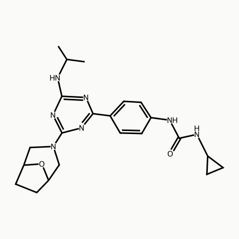 CC(C)Nc1nc(-c2ccc(NC(=O)NC3CC3)cc2)nc(N2CC3CCC(C2)O3)n1